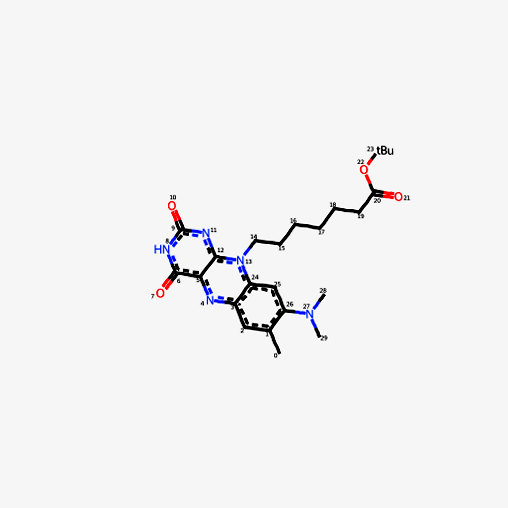 Cc1cc2nc3c(=O)[nH]c(=O)nc-3n(CCCCCCC(=O)OC(C)(C)C)c2cc1N(C)C